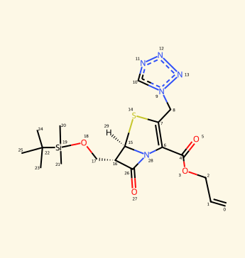 C=CCOC(=O)C1=C(Cn2cnnn2)S[C@@H]2[C@@H](CO[Si](C)(C)C(C)(C)C)C(=O)N12